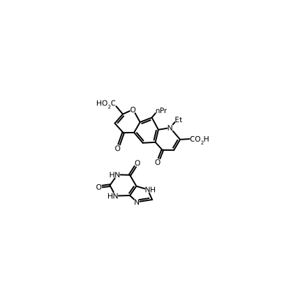 CCCc1c2oc(C(=O)O)cc(=O)c2cc2c(=O)cc(C(=O)O)n(CC)c12.O=c1[nH]c(=O)c2[nH]cnc2[nH]1